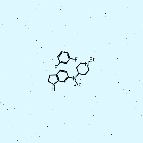 CCN1CCC(N(C(C)=O)c2ccc3c(c2)NCC3)CC1.Fc1cccc(F)c1